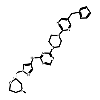 CN1CCO[C@H](Cn2cc(Nc3ncnc(N4CCN(c5ncc(Cc6ccccc6)cn5)CC4)n3)cn2)C1